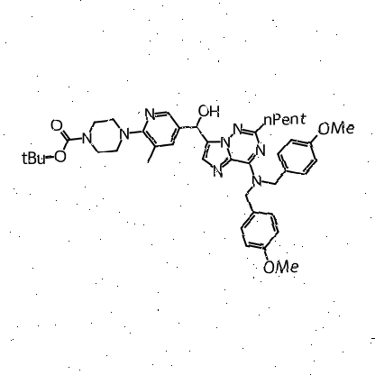 CCCCCc1nc(N(Cc2ccc(OC)cc2)Cc2ccc(OC)cc2)c2ncc(C(O)c3cnc(N4CCN(C(=O)OC(C)(C)C)CC4)c(C)c3)n2n1